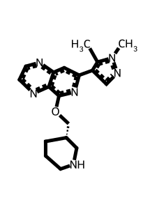 Cc1c(-c2cc3nccnc3c(OC[C@H]3CCCNC3)n2)cnn1C